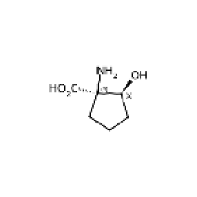 N[C@]1(C(=O)O)CCC[C@@H]1O